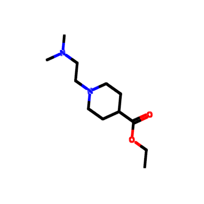 CCOC(=O)C1CCN(CCN(C)C)CC1